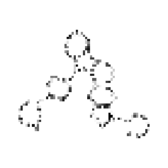 c1ccc(-n2ccc3cc4c(ccc5c6ccccc6n(-c6ccc(-c7cccnc7)cc6)c45)cc32)cc1